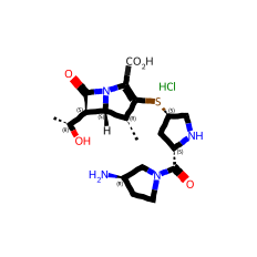 C[C@@H](O)[C@H]1C(=O)N2C(C(=O)O)=C(S[C@@H]3CN[C@H](C(=O)N4CC[C@@H](N)C4)C3)[C@H](C)[C@H]12.Cl